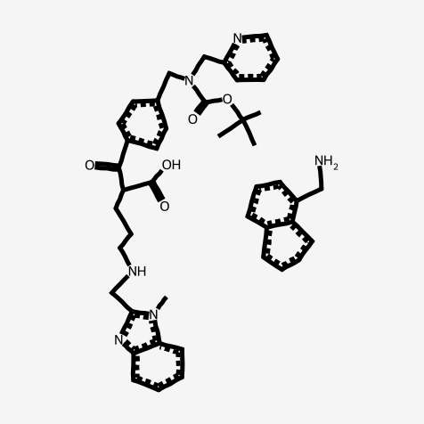 Cn1c(CNCCCC(C(=O)O)C(=O)c2ccc(CN(Cc3ccccn3)C(=O)OC(C)(C)C)cc2)nc2ccccc21.NCc1cccc2ccccc12